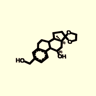 C[C@]12C[C@@H](O)C3c4ccc(CO)cc4CCC3C1CCC21OCCO1